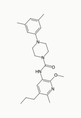 CCCc1cc(NC(=O)N2CCN(c3cc(C)cc(C)c3)CC2)c(OC)nc1C